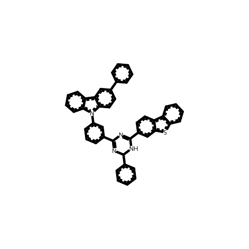 c1ccc(-c2ccc3c(c2)c2ccccc2n3-c2cccc(C3=NC(c4ccccc4)NC(c4ccc5c(c4)sc4ccccc45)=N3)c2)cc1